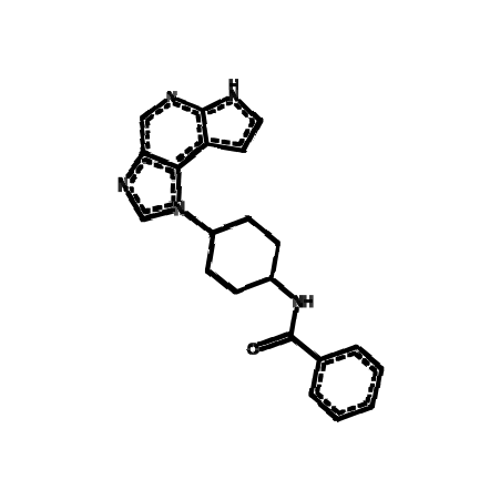 O=C(NC1CCC(n2cnc3cnc4[nH]ccc4c32)CC1)c1ccccc1